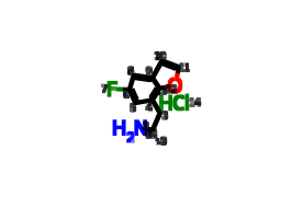 C[C@H](N)Cc1cc(F)cc2ccoc12.Cl